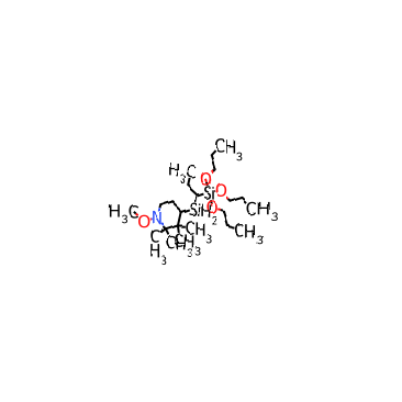 CCCO[Si](OCCC)(OCCC)C(CC)[SiH2]C1CCN(OC)C(C)(C)C1(C)C